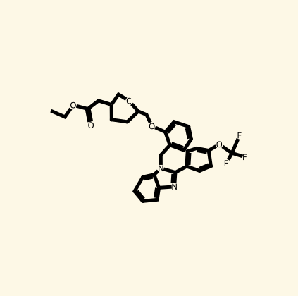 CCOC(=O)CC1CCC(COc2ccccc2Cn2c(-c3ccc(OC(F)(F)F)cc3)nc3ccccc32)CC1